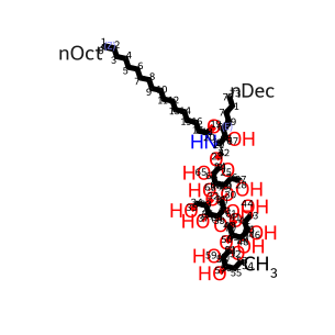 CCCCCCCC/C=C\CCCCCCCCCCCCCCCC(=O)N[C@@H](CO[C@@H]1OC(CO)[C@@H](O[C@@H]2OC(CO)[C@H](O)[C@H](O[C@H]3OC(CO)[C@H](O)[C@H](O)C3O[C@@H]3OC(C)CC(O)[C@@H]3O)C2O)[C@H](O)C1O)[C@H](O)/C=C/CCCCCCCCCCCCC